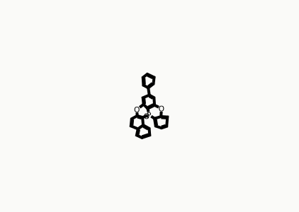 O=P12c3ccccc3Oc3cc(-c4ccccc4)cc(c31)Oc1ccc3ccccc3c12